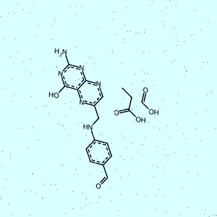 CCC(=O)O.Nc1nc(O)c2nc(CNc3ccc(C=O)cc3)cnc2n1.O=CO